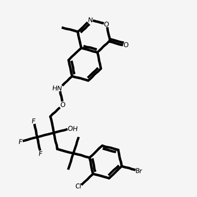 Cc1noc(=O)c2ccc(NOCC(O)(CC(C)(C)c3ccc(Br)cc3Cl)C(F)(F)F)cc12